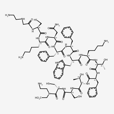 C[C@@H](O)[C@H](NC(=O)[C@H](Cc1ccccc1)NC(=O)[C@@H](NC(=O)[C@H](CCCCN)NC(=O)[C@H](Cc1c[nH]c2ccccc12)NC(=O)[C@H](Cc1ccccc1)NC(=O)[C@H](Cc1ccccc1)NC(=O)[C@H](CC(N)=O)NC(=O)[C@H](CCCCN)NC(=O)[C@H](CS)NC(=O)CNCCN)[C@@H](C)O)C(=O)N[C@@H](CO)C(=O)N[C@@H](CS)C(=O)N(CCN)CC(=O)O